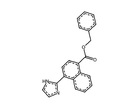 O=C(OCc1ccccc1)c1ccc(-c2ncc[nH]2)c2ccccc12